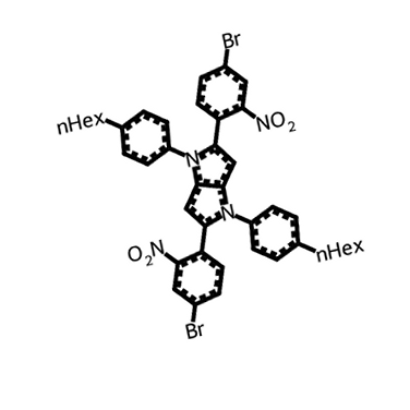 CCCCCCc1ccc(-n2c(-c3ccc(Br)cc3[N+](=O)[O-])cc3c2cc(-c2ccc(Br)cc2[N+](=O)[O-])n3-c2ccc(CCCCCC)cc2)cc1